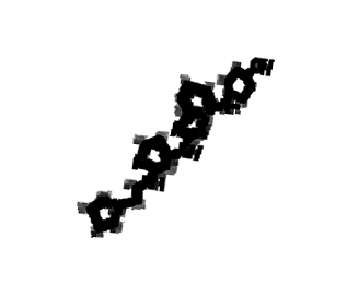 OC1CCC(Nc2cccc3nc(Nc4ccnc(NCCN5CCCC5)c4)nn23)CC1